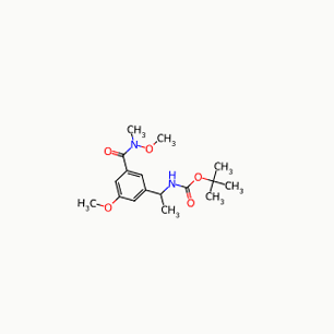 COc1cc(C(=O)N(C)OC)cc(C(C)NC(=O)OC(C)(C)C)c1